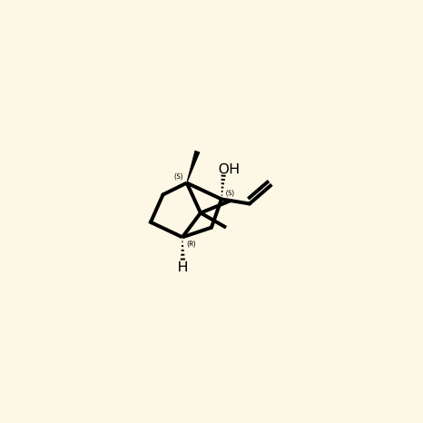 C=C[C@@]1(O)C[C@H]2CC[C@@]1(C)C2(C)C